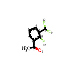 CC(=O)c1cccc(C(F)F)c1F